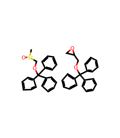 C[S+]([O-])COC(c1ccccc1)(c1ccccc1)c1ccccc1.c1ccc(C(OCC2CO2)(c2ccccc2)c2ccccc2)cc1